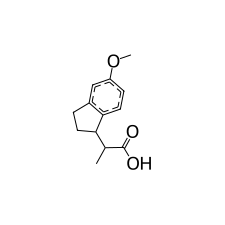 COc1ccc2c(c1)CCC2C(C)C(=O)O